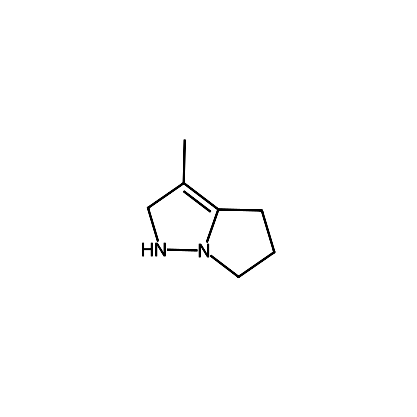 CC1=C2CCCN2NC1